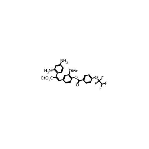 CCOC(=O)C(=Cc1ccc(OC(=O)c2ccc(OC(F)(F)C(F)F)cc2)c(OC)c1)c1ccc(N)cc1N